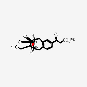 CCOC(=O)CC(=O)c1ccc2c(c1)C[C@H]1CC[C@@H](C2)[C@]12CN(CC(F)(F)F)S(=O)(=O)N2